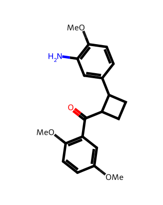 COc1ccc(OC)c(C(=O)C2CCC2c2ccc(OC)c(N)c2)c1